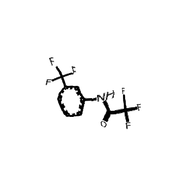 O=C(Nc1cccc(C(F)(F)F)c1)C(F)(F)F